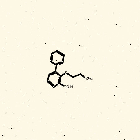 CCCCCCCCCCCCSc1c(C(=O)O)cccc1-c1ccccc1